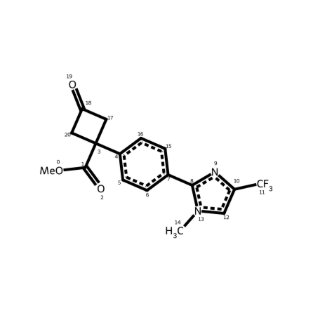 COC(=O)C1(c2ccc(-c3nc(C(F)(F)F)cn3C)cc2)CC(=O)C1